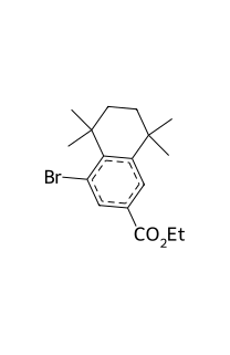 CCOC(=O)c1cc(Br)c2c(c1)C(C)(C)CCC2(C)C